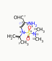 C=C(C)N(/C=C(\N)C=O)S(=O)(=O)N(C)C